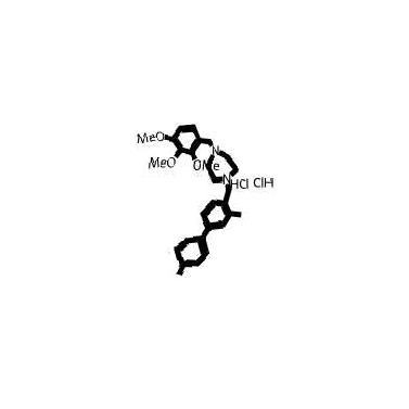 COc1ccc(CN2CCN(Cc3ccc(-c4ccc(C)cc4)cc3C)CC2)c(OC)c1OC.Cl.Cl